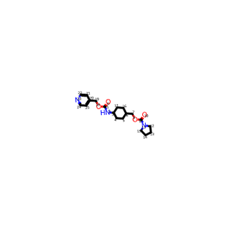 O=C(NC1CCC(COC(=O)N2CCCC2)CC1)OCc1ccncc1